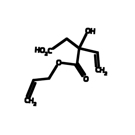 C=CCOC(=O)C(O)(C=C)CC(=O)O